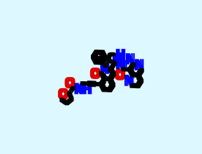 C[C@@H](NC(=O)c1c(N)ncc2cccnc12)c1cc2cccc(C#CCNC(=O)[C@H]3CCCO3)c2c(=O)n1-c1ccccc1